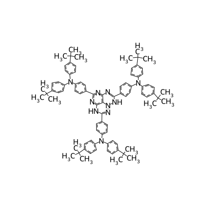 CC(C)(C)c1ccc(N(c2ccc(C3=NN4NC(c5ccc(N(c6ccc(C(C)(C)C)cc6)c6ccc(C(C)(C)C)cc6)cc5)=Nc5nc(-c6ccc(N(c7ccc(C(C)(C)C)cc7)c7ccc(C(C)(C)C)cc7)cc6)nc(c54)N3)cc2)c2ccc(C(C)(C)C)cc2)cc1